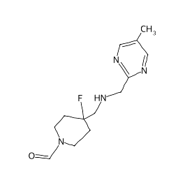 Cc1cnc(CNCC2(F)CCN(C=O)CC2)nc1